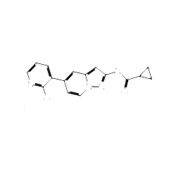 COc1ncccc1-c1ccn2nc(NC(=O)C3CC3)cc2c1